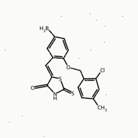 Bc1ccc(OCc2ccc(C)cc2Cl)c(/C=C2\SC(=S)NC2=O)c1